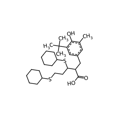 Cc1cc(CC(C(=O)O)C(CCSC2CCCCC2)SC2CCCCC2)cc(C(C)(C)C)c1O